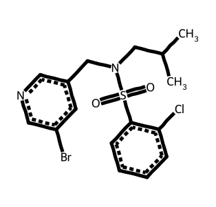 CC(C)CN(Cc1cncc(Br)c1)S(=O)(=O)c1ccccc1Cl